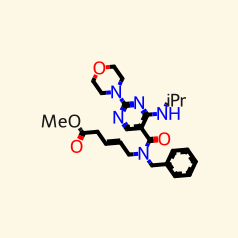 COC(=O)C/C=C/CN(Cc1ccccc1)C(=O)c1cnc(N2CCOCC2)nc1NC(C)C